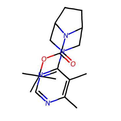 Cc1ncnc(N2CC3CCC(C2)N3C(=O)OC(C)(C)C)c1C